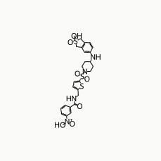 O=C(NCc1ccc(S(=O)(=O)N2CCC(Nc3ccc4c(c3)CS([O-])(O)C4)CC2)s1)c1cccc([N+](=O)O)c1